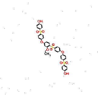 CCOc1cc(Oc2ccc(S(=O)(=O)c3ccc(O)cc3)cc2)ccc1S(=O)(=O)c1ccc(Oc2ccc(S(=O)(=O)c3ccc(O)cc3)cc2)cc1